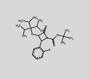 CC(C)[Si](OC1C(=O)N(C(=O)OC(C)(C)C)C1c1ccccc1F)(C(C)C)C(C)C